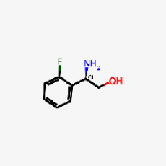 N[C@@H](CO)c1ccccc1F